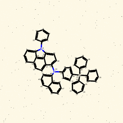 c1ccc(-n2c3cccc4ccc5c(N(c6ccc([Si](c7ccccc7)(c7ccccc7)c7ccccc7)cc6)c6cccc7ccccc67)ccc2c5c43)cc1